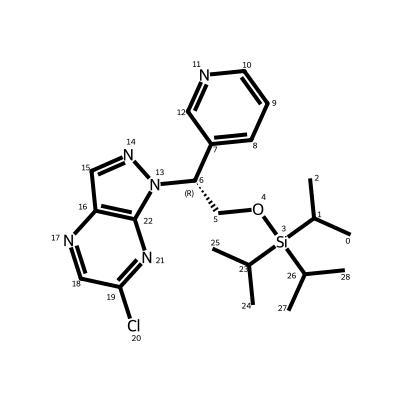 CC(C)[Si](OC[C@@H](c1cccnc1)n1ncc2ncc(Cl)nc21)(C(C)C)C(C)C